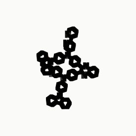 c1ccc(-c2ccc(N(c3ccc(-c4nc5ccccc5nc4-c4ccc(N(c5ccc(-n6c7ccccc7c7ccccc76)cc5)c5ccc(-c6ccccn6)nc5)cc4)cc3)c3ccc(-n4c5ccccc5c5ccccc54)cc3)cn2)nc1